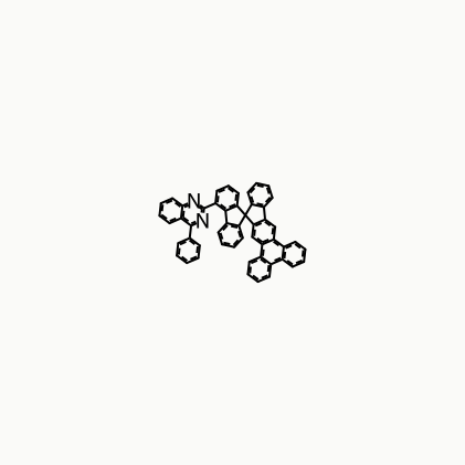 c1ccc(-c2nc(-c3cccc4c3-c3ccccc3C43c4ccccc4-c4cc5c6ccccc6c6ccccc6c5cc43)nc3ccccc23)cc1